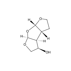 O[C@H]1CO[C@H]2O[C@@H]3OCC[C@@H]3[C@H]21